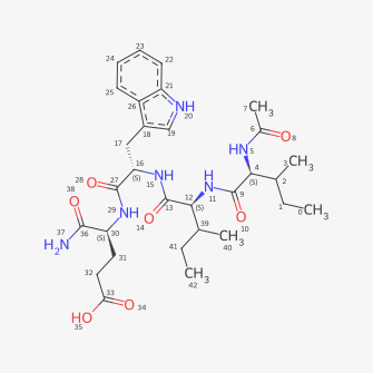 CCC(C)[C@H](NC(C)=O)C(=O)N[C@H](C(=O)N[C@@H](Cc1c[nH]c2ccccc12)C(=O)N[C@@H](CCC(=O)O)C(N)=O)C(C)CC